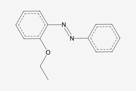 CCOc1ccccc1N=Nc1ccccc1